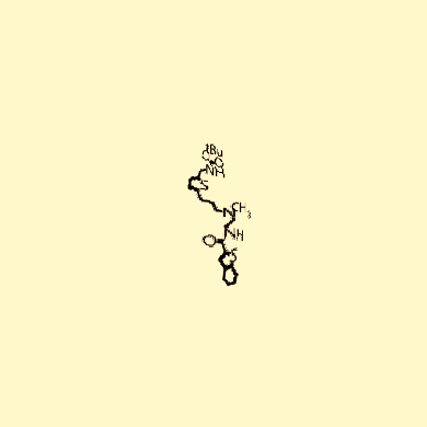 CN(CCCc1ccc(CNC(=O)OC(C)(C)C)s1)CCNC(=O)c1cc2ccccc2s1